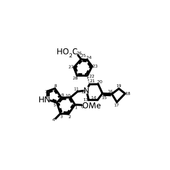 COc1cc(C)c2[nH]ccc2c1CN1CCC(=C2CCC2)C[C@H]1c1ccc(C(=O)O)cc1